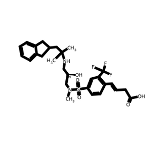 CN(C[C@H](O)CNC(C)(C)CC1Cc2ccccc2C1)S(=O)(=O)c1ccc(C=CCC(=O)O)c(C(F)(F)F)c1